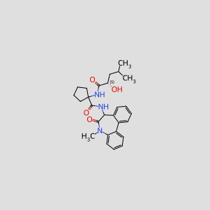 CC(C)C[C@H](O)C(=O)NC1(C(=O)NC2C(=O)N(C)c3ccccc3-c3ccccc32)CCCC1